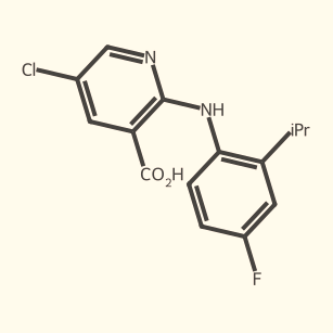 CC(C)c1cc(F)ccc1Nc1ncc(Cl)cc1C(=O)O